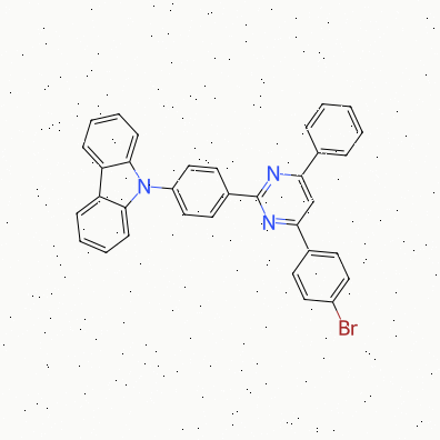 Brc1ccc(-c2cc(-c3ccccc3)nc(-c3ccc(-n4c5ccccc5c5ccccc54)cc3)n2)cc1